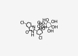 O=c1[nH]c(-c2cc(Cl)ccc2OP(=O)(O)O[C@@H]2C(O)C(O)[C@@H](O)[C@@H](O)[C@@H]2O)nc2ccc(Cl)cc12